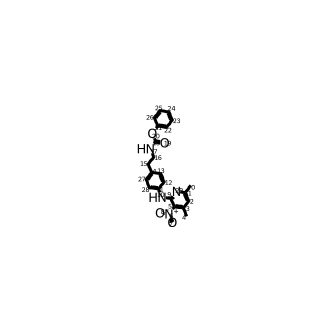 Cc1cc(C)c([N+](=O)[O-])c(Nc2ccc(CCNC(=O)Oc3ccccc3)cc2)n1